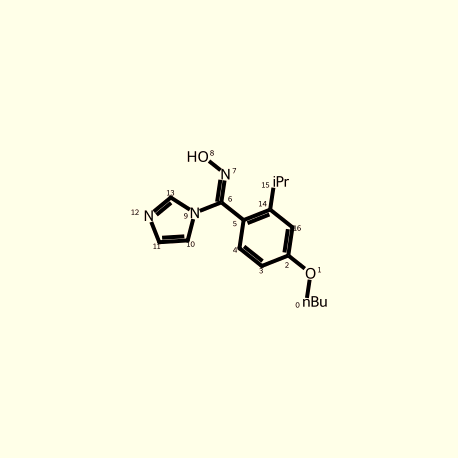 CCCCOc1ccc(C(=NO)n2ccnc2)c(C(C)C)c1